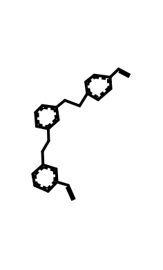 C=Cc1ccc(CCc2cccc(CCc3cccc(C=C)c3)c2)cc1